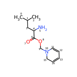 CC(C)CC(N)C(=O)OCN1C=CC=CC1